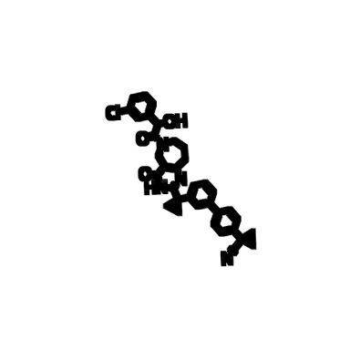 N#CC1(c2ccc(-c3cccc(C4(c5nc6c(c(=O)[nH]5)CN(C(=O)C(O)c5cccc(Cl)c5)CCC6)CC4)c3)cc2)CC1